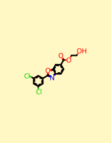 O=C(OCCO)c1ccc2nc(-c3cc(Cl)cc(Cl)c3)oc2c1